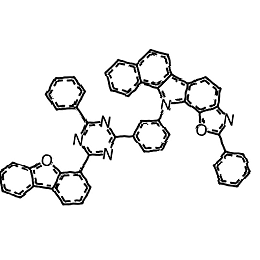 c1ccc(-c2nc(-c3cccc(-n4c5c6ccccc6ccc5c5ccc6nc(-c7ccccc7)oc6c54)c3)nc(-c3cccc4c3oc3ccccc34)n2)cc1